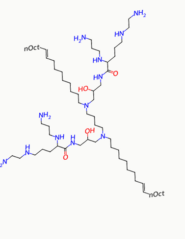 CCCCCCCC/C=C/CCCCCCCCN(CCCCN(CCCCCCCC/C=C/CCCCCCCC)CC(O)CNC(=O)C(CCCNCCN)NCCCN)CC(O)CNC(=O)C(CCCNCCN)NCCCN